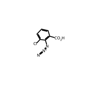 [N-]=[N+]=Nc1c(Cl)cccc1C(=O)O